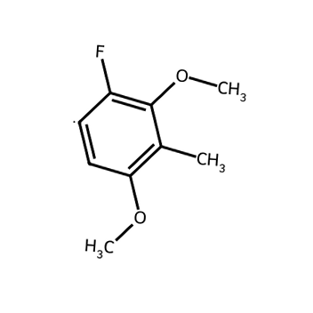 COc1c[c]c(F)c(OC)c1C